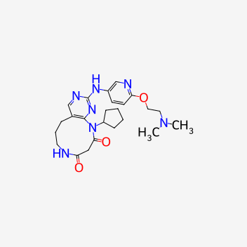 CN(C)CCOc1ccc(Nc2ncc3c(n2)N(C2CCCC2)C(=O)CC(=O)NCCC3)cn1